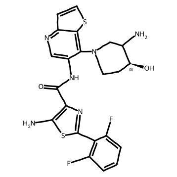 Nc1sc(-c2c(F)cccc2F)nc1C(=O)Nc1cnc2ccsc2c1N1CC[C@H](O)C(N)C1